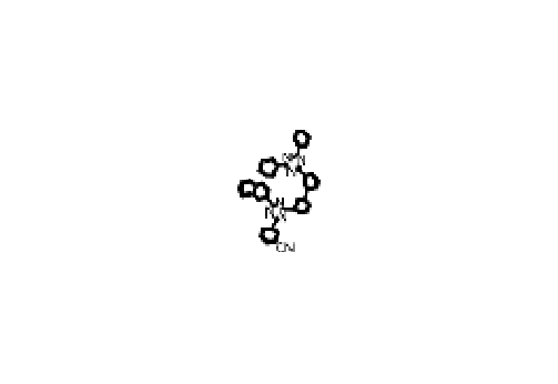 N#Cc1cccc(-c2nc(-c3cccc(-c4cccc(-c5nc(-c6ccccc6)nc(-c6ccccc6)n5)c4)c3)nc(-c3ccc4ccccc4c3)n2)c1